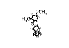 CCc1ccc(Oc2ccn3ncnc3c2)c(C)c1